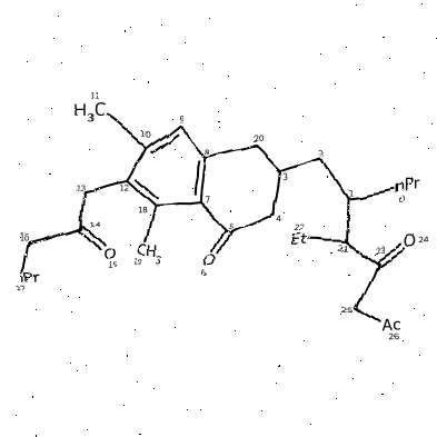 CCCC(CC1CC(=O)c2c(cc(C)c(CC(=O)CC(C)C)c2C)C1)C(CC)C(=O)CC(C)=O